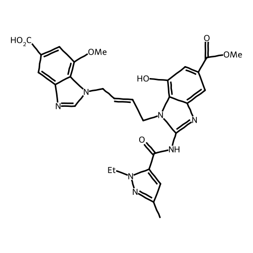 CCn1nc(C)cc1C(=O)Nc1nc2cc(C(=O)OC)cc(O)c2n1CC=CCn1cnc2cc(C(=O)O)cc(OC)c21